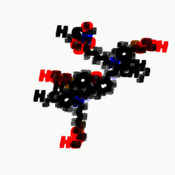 CC(=O)N(C=O)OC(=O)CCCCC[N+]1=C(/C=C/C2=C(Oc3ccc(SOOO)cc3)C(=C/C=C3/N(CCCCSOOO)c4ccc(C)cc4C3(C)C)/CCC2)C(C)(C)c2cc(SOOO)ccc21